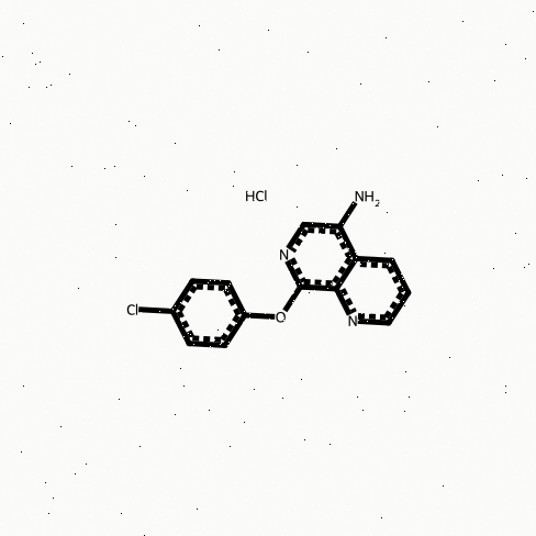 Cl.Nc1cnc(Oc2ccc(Cl)cc2)c2ncccc12